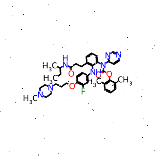 CCC(C)NC(=O)CCc1cccc(N(C(=O)Oc2c(C)cccc2C)c2ccncn2)c1Nc1ccc(OCCCN2CCN(C)CC2)c(F)c1